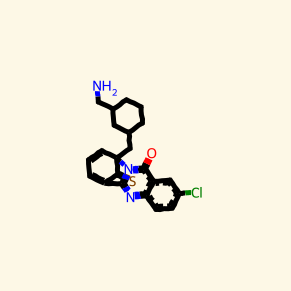 NCC1CCCC(CC23C=CC=C(C2=S)c2nc4ccc(Cl)cc4c(=O)n23)C1